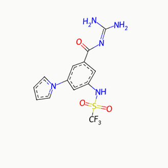 NC(N)=NC(=O)c1cc(NS(=O)(=O)C(F)(F)F)cc(-n2cccc2)c1